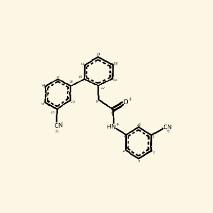 N#Cc1cccc(NC(=O)Cc2ccccc2-c2cccc(C#N)c2)c1